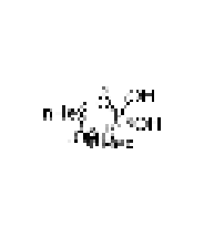 CCCCCCOCCCCCC.O=P(O)(O)O